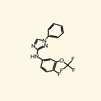 Fc1ccc(Nc2ncn(-c3ccccc3)n2)cc1OC(F)(F)F